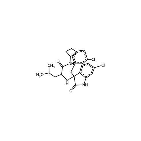 CC(C)CC(NC1(Cc2cccc(Cl)c2)C(=O)Nc2cc(Cl)ccc21)C(=O)NC1CCC1